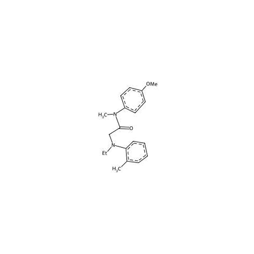 CCN(CC(=O)N(C)c1ccc(OC)cc1)c1ccccc1C